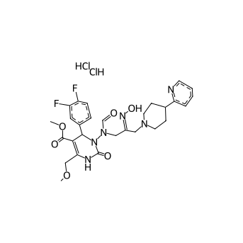 COCC1=C(C(=O)OC)C(c2ccc(F)c(F)c2)N(N(C=O)CC(CN2CCC(c3ccccn3)CC2)=NO)C(=O)N1.Cl.Cl